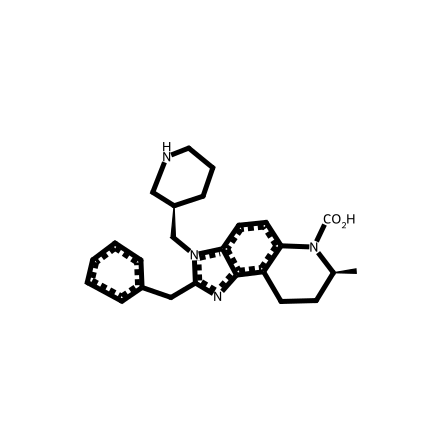 C[C@H]1CCc2c(ccc3c2nc(Cc2ccccc2)n3C[C@@H]2CCCNC2)N1C(=O)O